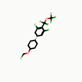 FCOC1CCC([C@H]2C=C(F)C(C(F)(F)OC(F)(F)F)=C(F)C2)CC1